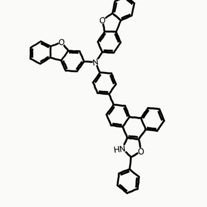 c1ccc(C2Nc3c(c4ccccc4c4cc(-c5ccc(N(c6ccc7c(c6)oc6ccccc67)c6ccc7c(c6)oc6ccccc67)cc5)ccc34)O2)cc1